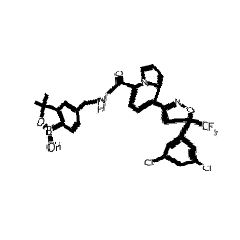 CC1(C)OB(O)c2ccc(CNC(=O)c3ccc(C4=NOC(c5cc(Cl)cc(Cl)c5)(C(F)(F)F)C4)c4cccn34)cc21